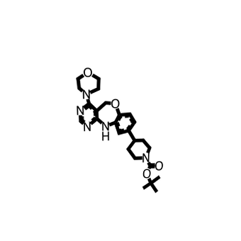 CC(C)(C)OC(=O)N1CCC(c2ccc3c(c2)Nc2ncnc(N4CCOCC4)c2CO3)CC1